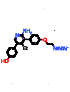 CCc1c(-c2ccc(O)cc2)cnc(N)c1-c1ccc(OCCN=[N+]=[N-])cc1